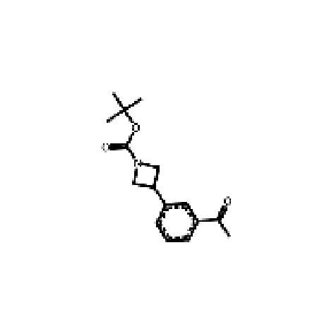 CC(=O)c1cccc(C2CN(C(=O)OC(C)(C)C)C2)c1